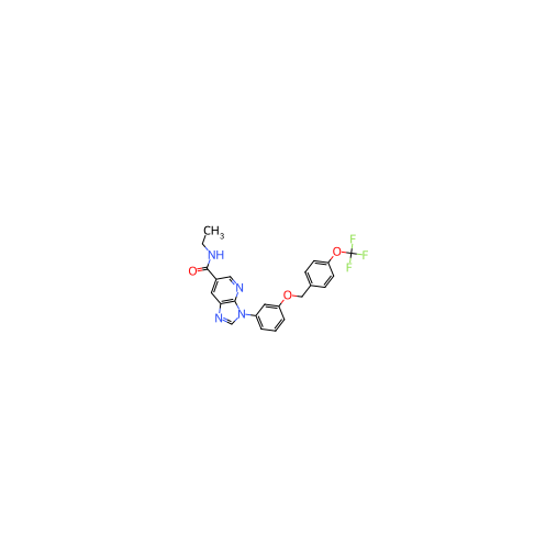 CCNC(=O)c1cnc2c(c1)ncn2-c1cccc(OCc2ccc(OC(F)(F)F)cc2)c1